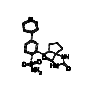 NS(=O)(=O)c1ccc(-c2ccncc2)cc1CC1CCCC12NC(=O)NC2=O